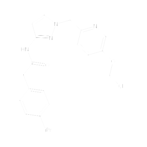 CC(C)c1ccc(CC(=O)Nc2ccn(Cc3ccc(OCC(F)(F)F)cn3)n2)cc1